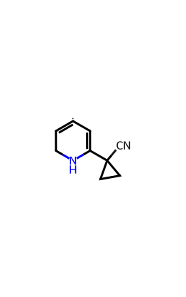 N#CC1(C2=C[C]=CCN2)CC1